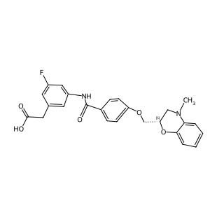 CN1C[C@@H](COc2ccc(C(=O)Nc3cc(F)cc(CC(=O)O)c3)cc2)Oc2ccccc21